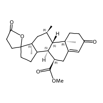 COC(=O)[C@@H]1CC2=CC(=O)CC[C@]2(C)[C@@H]2[C@@H]1C1CCC3(CCC(=O)O3)[C@@]1(C)C[C@H]2C